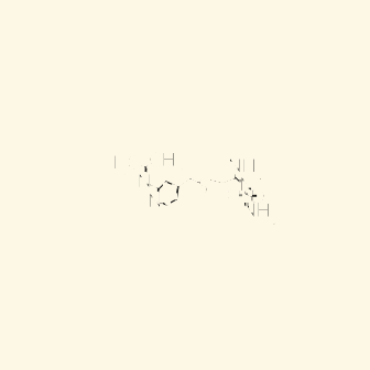 CC(C)=Nc1cc(CSCC/C(N)=N\S(N)(=O)=O)ccn1